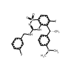 C[C@H](c1cccc(N(C)C)c1)c1c(F)ccc2c1NC(NCc1cccc(F)c1)=NS2(=O)=O